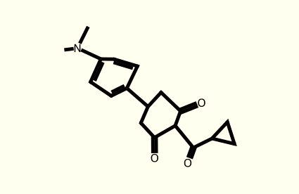 CN(C)c1ccc(C2CC(=O)C(C(=O)C3CC3)C(=O)C2)cc1